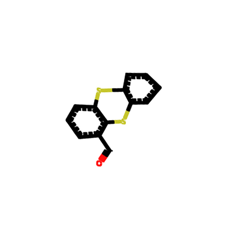 O=[C]c1cccc2c1Sc1ccccc1S2